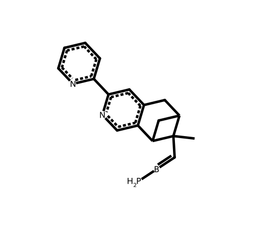 CC1(C=BP)C2Cc3cc(-c4ccccn4)ncc3C1C2